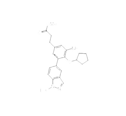 COC(=O)CCc1cc(N)c(OC2CCCC2)c(-c2ccc3c(cnn3C)c2)c1